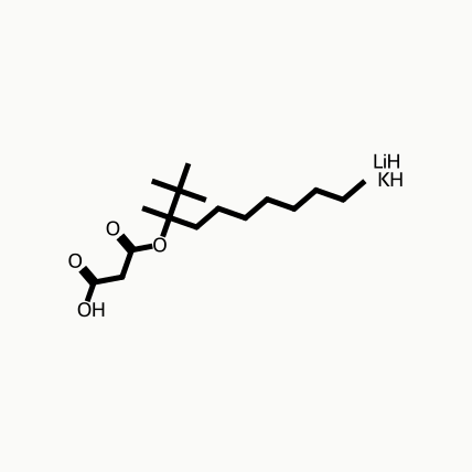 CCCCCCCCC(C)(OC(=O)CC(=O)O)C(C)(C)C.[KH].[LiH]